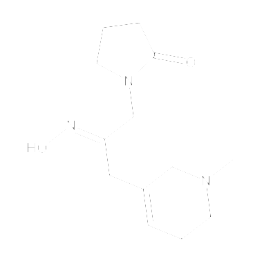 CN1CCC=C(C/C(CN2CCCC2=O)=N\O)C1